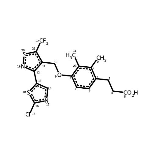 Cc1c(CCC(=O)O)ccc(OCc2c(-c3cnc(Cl)s3)nsc2C(F)(F)F)c1C